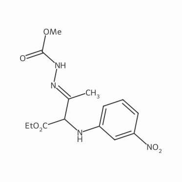 CCOC(=O)C(Nc1cccc([N+](=O)[O-])c1)/C(C)=N/NC(=O)OC